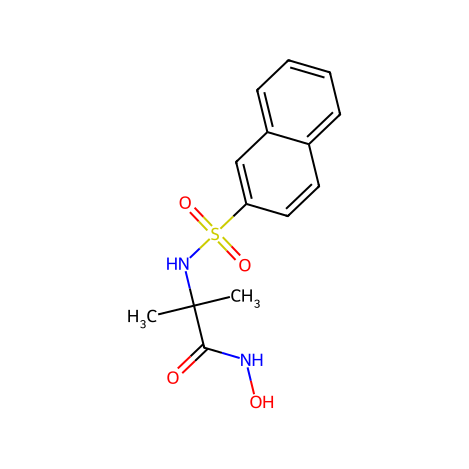 CC(C)(NS(=O)(=O)c1ccc2ccccc2c1)C(=O)NO